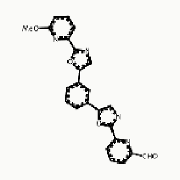 COc1cccc(-c2ncc(-c3cccc(-c4cnc(-c5cccc(C=O)n5)o4)c3)o2)n1